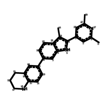 Cc1cc(-c2[nH]c3cc(-c4ccc5c(c4)CCCN5)ccc3c2C)cc(C)n1